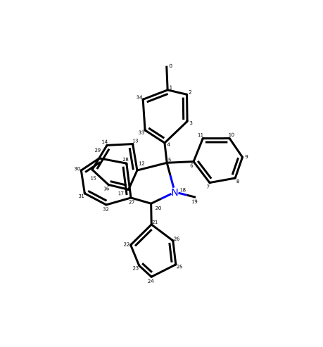 Cc1ccc(C(c2ccccc2)(c2ccccc2)N(C)C(c2ccccc2)c2ccccc2)cc1